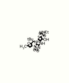 CCNS(=O)(=O)c1scc(NC2=NS(=O)(=O)N=C2N[C@@H](c2ccc(C)o2)C(C)(C)C)c1O